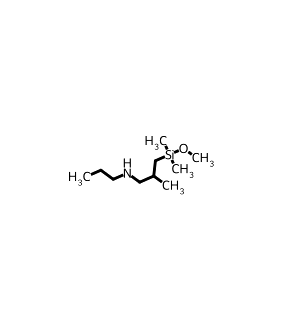 CCCNCC(C)C[Si](C)(C)OC